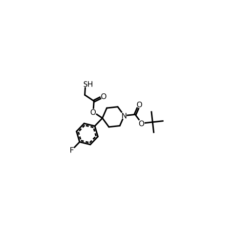 CC(C)(C)OC(=O)N1CCC(OC(=O)CS)(c2ccc(F)cc2)CC1